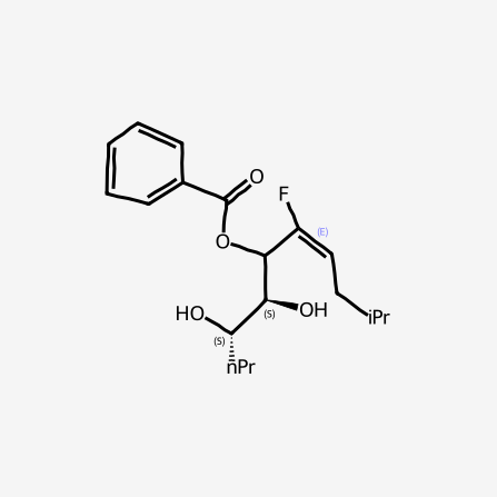 CCC[C@H](O)[C@H](O)C(OC(=O)c1ccccc1)/C(F)=C\CC(C)C